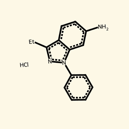 CCc1nn(-c2ccccc2)c2cc(N)ccc12.Cl